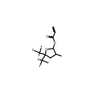 C=CC(=O)OC1OC(C(F)(F)F)(C(F)(F)F)CC1C